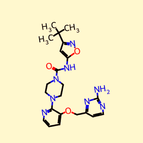 CC(C)(C)c1cc(NC(=O)N2CCN(c3ncccc3OCc3ccnc(N)n3)CC2)on1